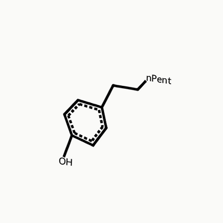 CCCCCCCc1ccc(O)cc1